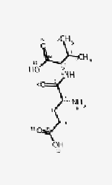 CC(C)[C@H](NC(=O)[C@H](N)CCC(=O)O)C(=O)O